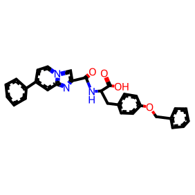 O=C(NC(Cc1ccc(OCc2ccccc2)cc1)C(=O)O)c1cn2ccc(-c3ccccc3)cc2n1